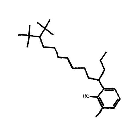 CCCC(CCCCCCCC(C(C)(C)C)C(C)(C)C)c1cccc(C)c1O